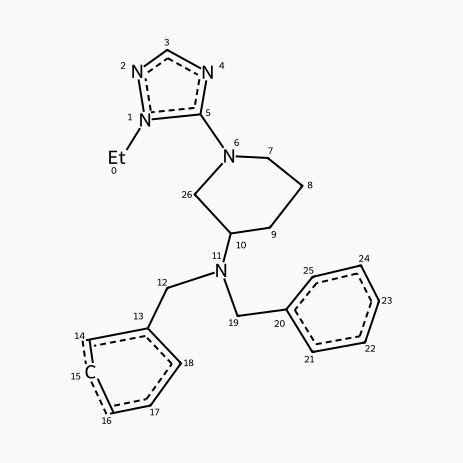 CCn1ncnc1N1CCCC(N(Cc2ccccc2)Cc2ccccc2)C1